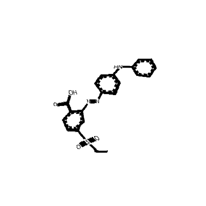 CCS(=O)(=O)c1ccc(C(=O)O)c(N=Nc2ccc(Nc3ccccc3)cc2)c1